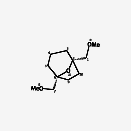 COC[C@]12CCC[C@](COC)(CC1)O2